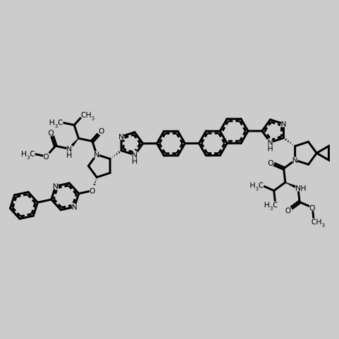 COC(=O)N[C@H](C(=O)N1C[C@@H](Oc2cnc(-c3ccccc3)cn2)C[C@H]1c1ncc(-c2ccc(-c3ccc4cc(-c5cnc([C@@H]6CC7(CC7)CN6C(=O)[C@@H](NC(=O)OC)C(C)C)[nH]5)ccc4c3)cc2)[nH]1)C(C)C